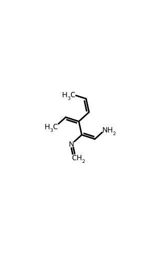 C=NC(=C/N)/C(/C=C\C)=C\C